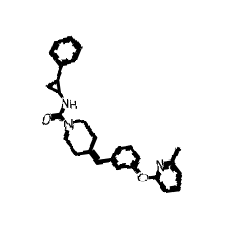 Cc1cccc(Oc2cccc(C=C3CCN(C(=O)NC4CC4c4ccccc4)CC3)c2)n1